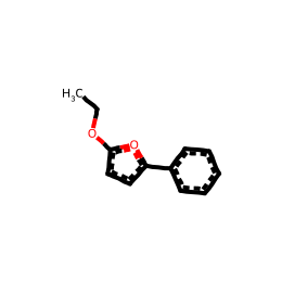 CCOc1ccc(-c2ccccc2)o1